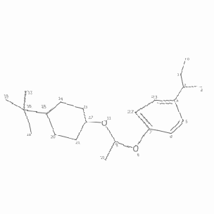 CCC(C)c1ccc(OC(C)OC2CCC(C(C)(C)C)CC2)cc1